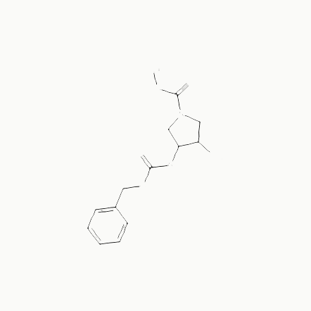 CC(C)(C)OC(=O)N1CC(NC(=O)OCc2ccccc2)C(C(F)(F)F)C1